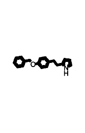 c1ccc(COc2ccc(CCc3ccc[nH]3)cc2)cc1